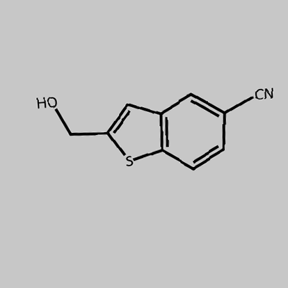 N#Cc1ccc2sc(CO)cc2c1